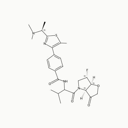 Cc1sc([C@H](C)N(C)C)nc1-c1ccc(C(=O)NC(C(=O)N2C[C@H](F)[C@H]3OCC(=O)[C@H]32)C(C)C)cc1